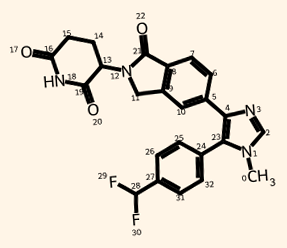 Cn1cnc(-c2ccc3c(c2)CN(C2CCC(=O)NC2=O)C3=O)c1-c1ccc(C(F)F)cc1